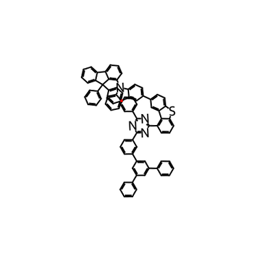 c1ccc(-c2cc(-c3ccccc3)cc(-c3cccc(-c4nc(-c5ccccc5)nc(-c5cccc6sc7ccc(-c8ccc9c(c8)c8ccccc8n9-c8cccc9c8C(c8ccccc8)(c8ccccc8)c8ccccc8-9)cc7c56)n4)c3)c2)cc1